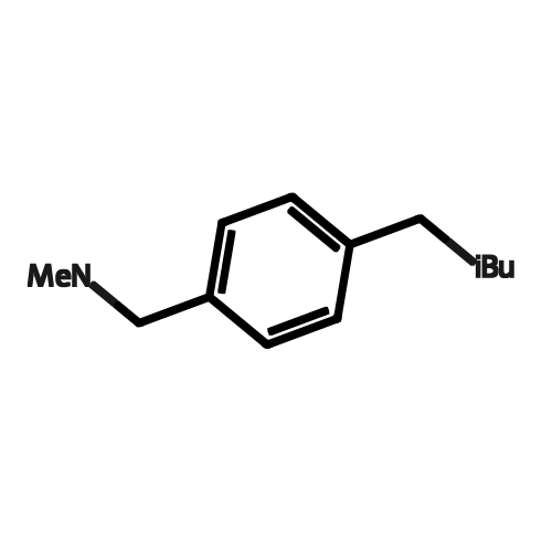 CCC(C)Cc1ccc(CNC)cc1